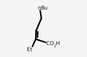 CCCCCC=C(CC)C(=O)O